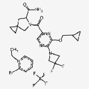 CC[n+]1ccccc1Br.F[B-](F)(F)F.NC(=O)C1CC2(CC2)CN1C(=O)c1cnc(N2CC(F)(F)C2)c(OCC2CC2)n1